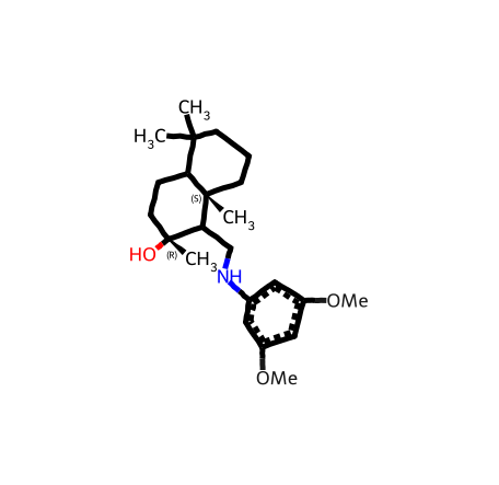 COc1cc(NCC2[C@@]3(C)CCCC(C)(C)C3CC[C@@]2(C)O)cc(OC)c1